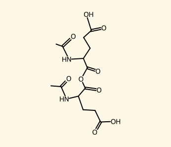 CC(=O)NC(CCC(=O)O)C(=O)OC(=O)C(CCC(=O)O)NC(C)=O